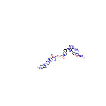 Nc1nc2cc(-c3nn(Cc4ccc5c(c4)CCN(C(=O)CCOCCNC(=O)c4cnc(N6CCN(c7ncc8c(n7)CCNC8)CC6)nc4)C5)c4ncnc(N)c34)ccc2o1